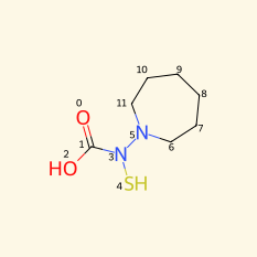 O=C(O)N(S)N1CCCCCC1